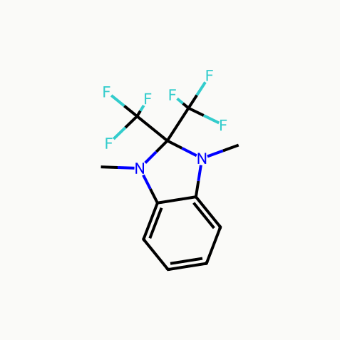 CN1c2ccccc2N(C)C1(C(F)(F)F)C(F)(F)F